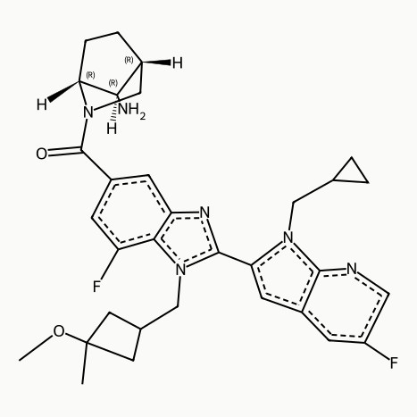 COC1(C)CC(Cn2c(-c3cc4cc(F)cnc4n3CC3CC3)nc3cc(C(=O)N4C[C@H]5CC[C@@H]4[C@@H]5N)cc(F)c32)C1